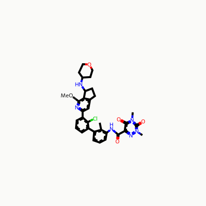 COc1nc(-c2cccc(-c3cccc(NC(=O)c4nn(C)c(=O)n(C)c4=O)c3C)c2Cl)cc2c1C(NC1CCOCC1)CC2